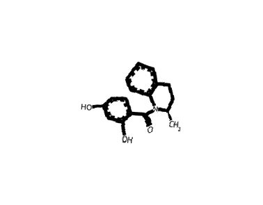 C[C@@H]1CCc2ccccc2N1C(=O)c1ccc(O)cc1O